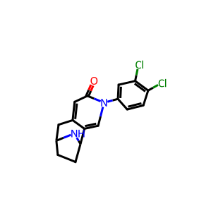 O=c1cc2c(cn1-c1ccc(Cl)c(Cl)c1)C1CCC(C2)N1